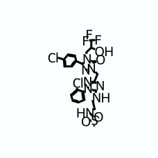 CS(=O)(=O)NCCNc1nc(Cn2nc(-c3ccc(Cl)cc3)n(CC(O)C(F)(F)F)c2=O)nn1-c1ccccc1Cl